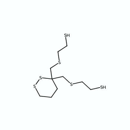 SCCSCC1(CSCCS)CCCSS1